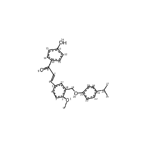 COc1ccc(/C=C/C(=O)c2ccc(O)cc2)cc1COc1ccc(C(C)C)cc1